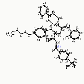 CCCCCc1ccc(CN(C(=O)/C=C/c2ccc(C(F)(F)F)cc2)[C@@H](Cc2ccccc2)C(=O)N2CCN(c3cnccn3)CC2)cc1